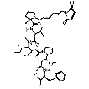 CC[C@H](C)[C@@H]([C@@H](CC(=O)N1CCC[C@H]1[C@H](OC)[C@@H](C)C(=O)N[C@@H](Cc1ccccc1)C(=O)O)OC)N(C)C(=O)[C@@H](NC(=O)[C@]1(C)CCCN1CCCCCCN1C(=O)C=CC1=O)C(C)C